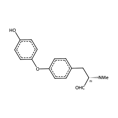 CN[C@H](C=O)Cc1ccc(Oc2ccc(O)cc2)cc1